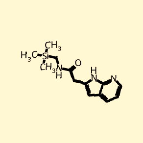 C[Si](C)(C)CNC(=O)Cc1cc2cccnc2[nH]1